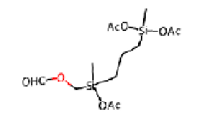 CC(=O)O[Si](C)(CCC[Si](C)(OC(C)=O)OC(C)=O)COC=O